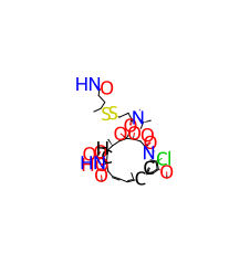 CNC(=O)CCC(C)SSCCC(=O)N(C)[C@@H](C)C(=O)O[C@H]1CC(=O)N(C)c2cc(cc(OC)c2Cl)C/C(C)=C/C=C/[C@@H](OC)[C@@]2(O)C[C@H](OC(=O)N2)[C@@H](C)C2OC21C